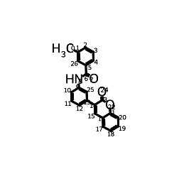 Cc1cccc(C(=O)Nc2cccc(-c3cc4ccccc4oc3=O)c2)c1